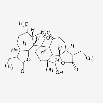 C=C1CC[C@H]2C(CC)C(=O)O[C@@H]2[C@@H]2[C@H]1CC(=O)[C@]21CC[C@@](O)(CO)[C@@H]2[C@H]3OC(=O)C(CC)[C@@H]3CCC(=C)[C@@H]21